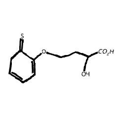 O=C(O)C(O)CCOC1=CC=CCC1=S